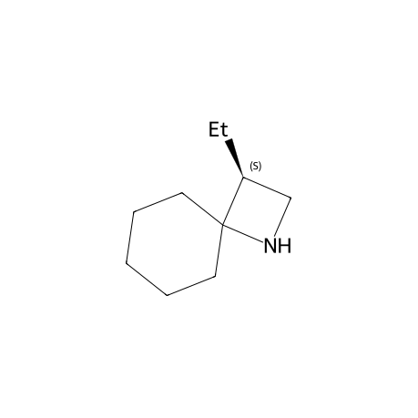 CC[C@H]1CNC12CCCCC2